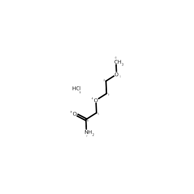 COCCOCC(N)=O.Cl